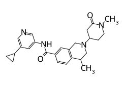 CC1CN(C2CCN(C)C(=O)C2)Cc2cc(C(=O)Nc3cncc(C4CC4)c3)ccc21